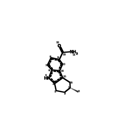 C[C@@H]1CCc2[nH]c3ccc(C(N)=O)cc3c2C1